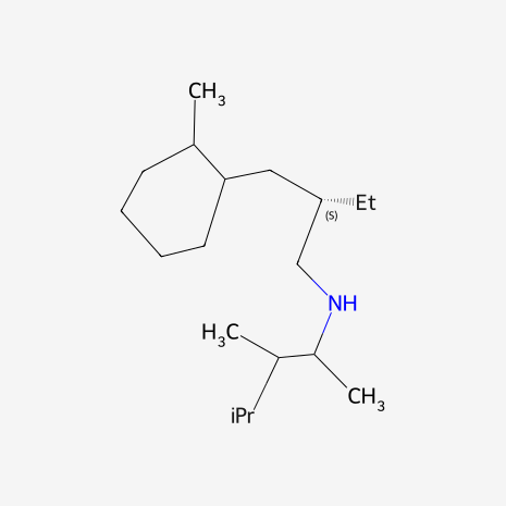 CC[C@H](CNC(C)C(C)C(C)C)CC1CCCCC1C